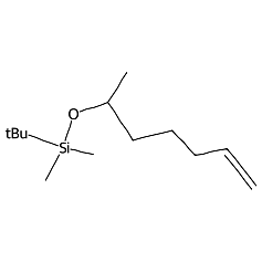 C=CCCCC(C)O[Si](C)(C)C(C)(C)C